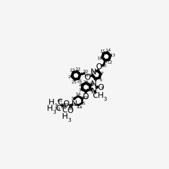 Cn1c(=O)n(-c2ccc(OCc3ccccc3)nc2OCc2ccccc2)c2cccc(OC3CCN(C(=O)OC(C)(C)C)CC3)c21